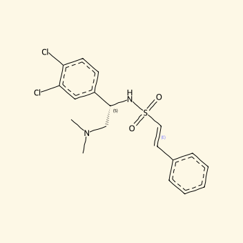 CN(C)C[C@@H](NS(=O)(=O)/C=C/c1ccccc1)c1ccc(Cl)c(Cl)c1